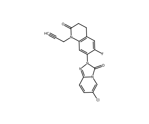 C#CCN1C(=O)CCc2cc(F)c(-n3nc4ccc(Cl)cn4c3=O)cc21